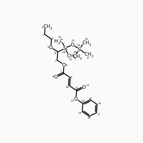 CCCOC(COC(=O)C=CC(=O)Oc1ccccc1)[Si](C)(C)O[Si](C)(C)C